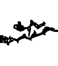 CCCCCCCCCCCCCCCC(=O)O.CCCCCCCCON=O